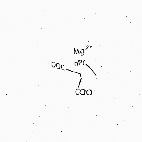 CCCC.O=C([O-])CC(=O)[O-].[Mg+2]